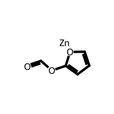 O=COc1ccco1.[Zn]